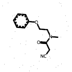 CN(CCOc1ccccc1)C(=O)CC#N